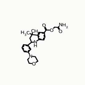 CC1(C)CC(c2cccc(N3CCOCC3)c2)Nc2ccc(C(=O)OCC(N)=O)cc21